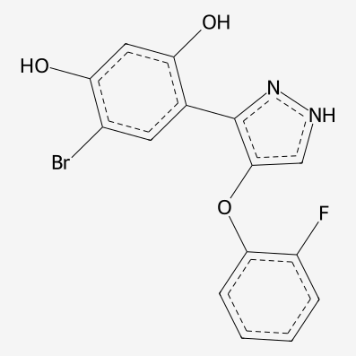 Oc1cc(O)c(-c2n[nH]cc2Oc2ccccc2F)cc1Br